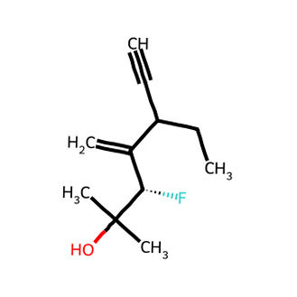 C#CC(CC)C(=C)[C@H](F)C(C)(C)O